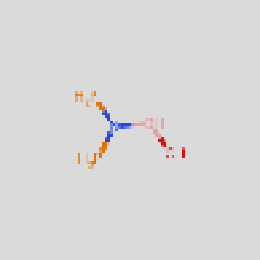 OBN(P)P